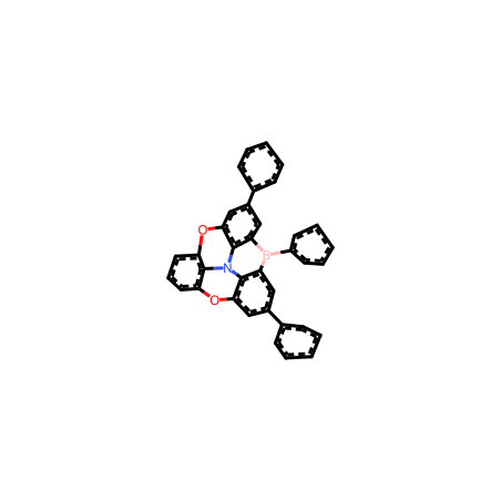 c1ccc(B2c3cc(-c4ccccc4)cc4c3N3c5c(cccc5Oc5cc(-c6ccccc6)cc2c53)O4)cc1